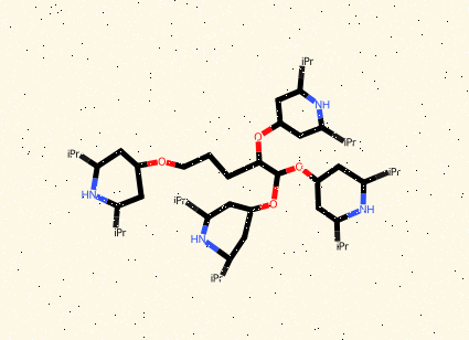 CC(C)C1CC(OCCCC(OC2CC(C(C)C)NC(C(C)C)C2)C(OC2CC(C(C)C)NC(C(C)C)C2)OC2CC(C(C)C)NC(C(C)C)C2)CC(C(C)C)N1